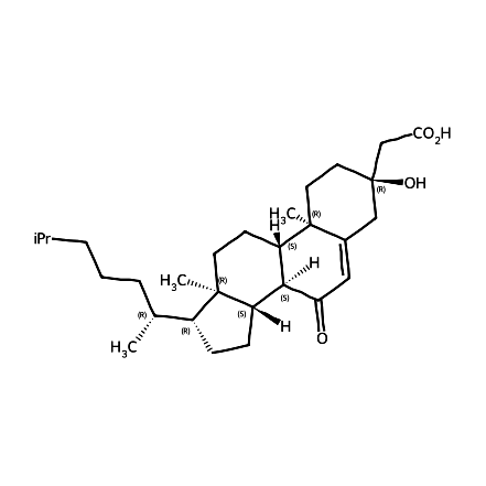 CC(C)CCC[C@@H](C)[C@H]1CC[C@H]2[C@@H]3C(=O)C=C4C[C@@](O)(CC(=O)O)CC[C@]4(C)[C@H]3CC[C@]12C